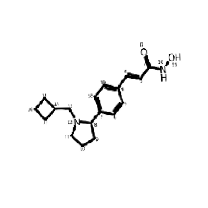 O=C(C=Cc1ccc(C2CCCN2CC2CCC2)cc1)NO